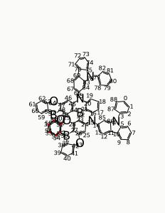 c1ccc(-n2c3ccccc3c3ccc(N4c5cccc6c5B(c5c4cc4c7c5Oc5ccccc5B7c5ccccc5O4)c4c(cc5c7c4Oc4ccccc4B7c4ccccc4O5)N6c4ccc5c6ccccc6n(-c6ccccc6)c5c4)cc32)cc1